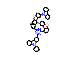 c1ccc(-c2nc(-c3ccc4c(c3)c3ccccc3n4-c3ccccc3)nc(-c3cccc4oc5ccc(-c6cccc7sc8ccc(-n9c%10ccccc%10c%10ccccc%109)cc8c67)cc5c34)n2)cc1